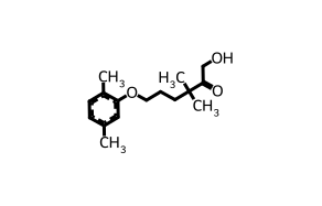 Cc1ccc(C)c(OCCCC(C)(C)C(=O)CO)c1